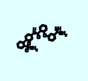 N=C(N)c1cccc(Oc2ccccc2C(=O)Nc2ccc(-c3ccccc3S(N)(=O)=O)cc2)c1